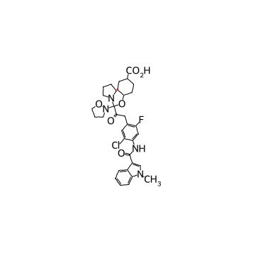 Cn1cc(C(=O)Nc2cc(F)c(CC(=O)C(OC3CCC(C(=O)O)CC3)(N3CCCC3)N3CCCO3)cc2Cl)c2ccccc21